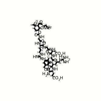 CO[C@@H]1[C@H](OC(=O)NCC(=O)N[C@@H](CCCNC(=N)N)C(=O)NCC(=O)N[C@@H](CC(=O)O)C(=O)N[C@@H](Cc2ccc(CO)cc2)C(=O)N[C@@H](CCCNC(=N)N)C(=O)N[C@@H](CCC(=O)O)C(N)=O)CC[C@]2(CO2)[C@H]1[C@@]1(C)O[C@@H]1CCC(C)C